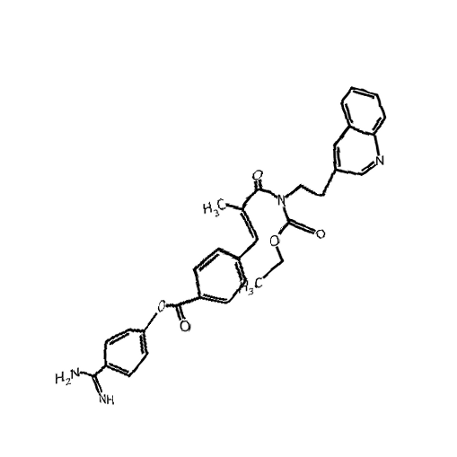 CCOC(=O)N(CCc1cnc2ccccc2c1)C(=O)C(C)=Cc1ccc(C(=O)Oc2ccc(C(=N)N)cc2)cc1